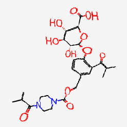 CC(C)C(=O)c1cc(COC(=O)N2CCN(C(=O)C(C)C)CC2)ccc1O[C@@H]1O[C@H](C(=O)O)[C@@H](O)[C@H](O)[C@H]1O